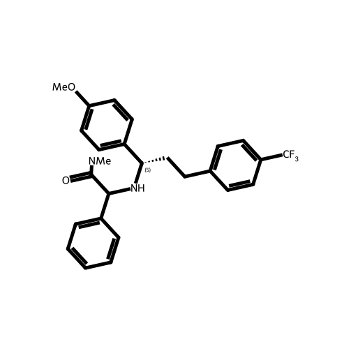 CNC(=O)C(N[C@@H](CCc1ccc(C(F)(F)F)cc1)c1ccc(OC)cc1)c1ccccc1